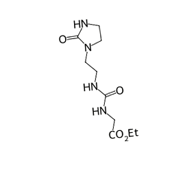 CCOC(=O)CNC(=O)NCCN1CCNC1=O